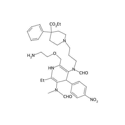 CCOC(=O)C1(c2ccccc2)CCN(CCCN(C=O)C2=C(COCCN)NC(CC)=C(N(C)C=O)C2c2ccc([N+](=O)[O-])cc2)CC1